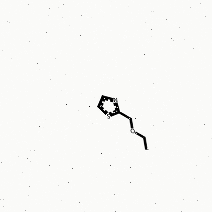 [CH2]COCc1nccs1